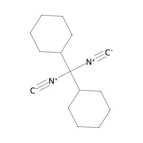 [C-]#[N+]C([N+]#[C-])(C1CCCCC1)C1CCCCC1